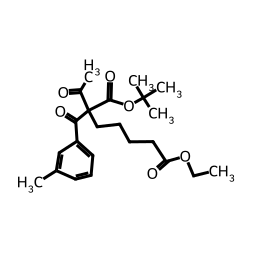 CCOC(=O)CCCCC(C(C)=O)(C(=O)OC(C)(C)C)C(=O)c1cccc(C)c1